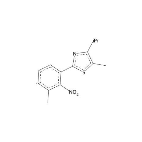 Cc1[c]ccc(-c2nc(C(C)C)c(C)s2)c1[N+](=O)[O-]